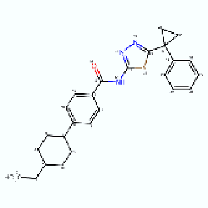 O=C(O)CC1CCC(c2ccc(C(=O)Nc3nnc(C4(c5ccccc5)CC4)s3)cc2)CC1